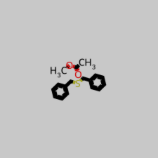 COC(C)=O.c1ccc(CSCc2ccccc2)cc1